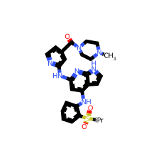 CC(C)S(=O)(=O)c1ccccc1Nc1cc(Nc2cc(C(=O)N3CCN(C)CC3)ccn2)nc2[nH]ccc12